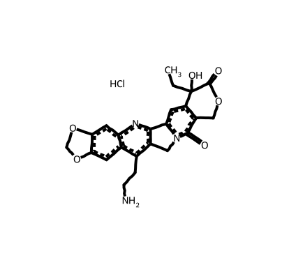 CCC1(O)C(=O)OCc2c1cc1n(c2=O)Cc2c-1nc1cc3c(cc1c2CCN)OCO3.Cl